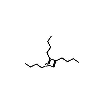 CCCCC1=C[Si](CCCC)=C1CCCC